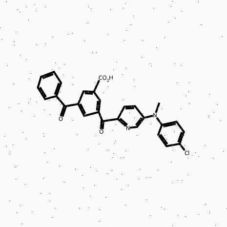 CN(c1ccc(Cl)cc1)c1ccc(C(=O)c2cc(C(=O)O)cc(C(=O)c3ccccc3)c2)nc1